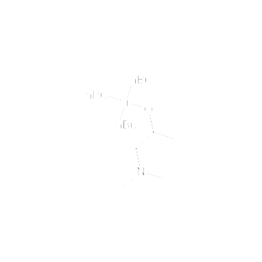 CCC[CH2][Sn]([CH2]CCC)([CH2]CCC)[O]C(C)CN(C)C